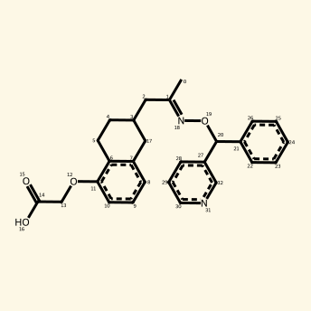 CC(CC1CCc2c(cccc2OCC(=O)O)C1)=NOC(c1ccccc1)c1cccnc1